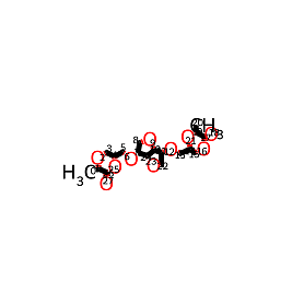 CC1OCC(COC2COC3C(OCC4COC(=O)C(C)O4)COC23)OC1=O